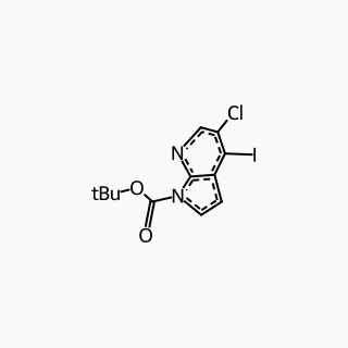 CC(C)(C)OC(=O)n1ccc2c(I)c(Cl)cnc21